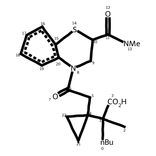 CCCCC(C)(C(=O)O)C1(CC(=O)N2CC(C(=O)NC)Sc3ccccc32)CC1